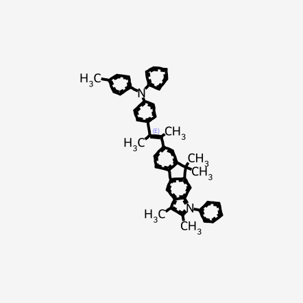 C/C(=C(/C)c1ccc2c(c1)C(C)(C)c1cc3c(cc1-2)c(C)c(C)n3-c1ccccc1)c1ccc(N(c2ccccc2)c2ccc(C)cc2)cc1